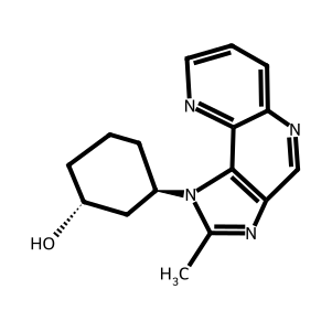 Cc1nc2cnc3cccnc3c2n1[C@@H]1CCC[C@@H](O)C1